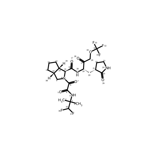 CC(C)(NC(=O)C(=O)N1C[C@@H]2CCC[C@@H]2[C@H]1C(=O)N[C@@H](C[C@@H]1CCNC1=O)C(=O)COC(F)(F)F)C(F)F